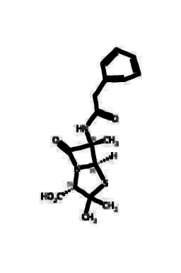 CC1(C)S[C@H]2N(C(=O)[C@]2(C)NC(=O)Cc2ccccc2)[C@H]1C(=O)O